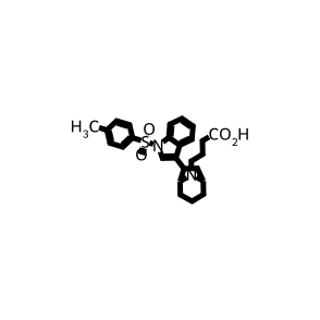 Cc1ccc(S(=O)(=O)n2cc(C3CC4CCCC3N4CCCC(=O)O)c3ccccc32)cc1